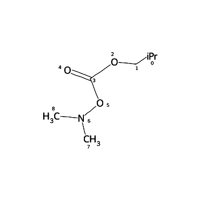 CC(C)COC(=O)ON(C)C